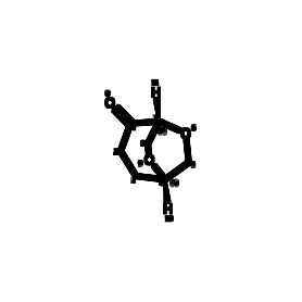 O=C1CC[C@H]2CO[C@@H]1CO2